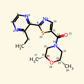 CCc1nccnc1-c1ncc(C(=O)N2C[C@@H](C)O[C@@H](C)C2)s1